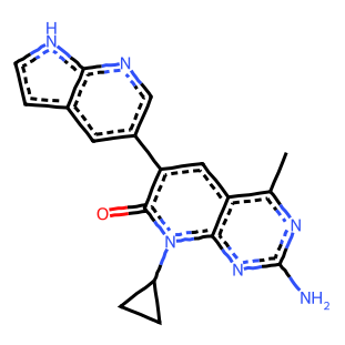 Cc1nc(N)nc2c1cc(-c1cnc3[nH]ccc3c1)c(=O)n2C1CC1